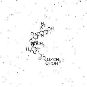 CCc1c2c(nc3ccc(O)cc13)-c1cc3c(c(=O)n1C2)COC(=O)[C@@]3(CC)OC(=O)[C@H](C)NC(=O)CCCC(=O)OCC(O)OC(CC)CO